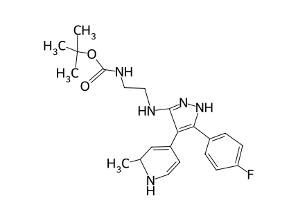 CC1C=C(c2c(NCCNC(=O)OC(C)(C)C)n[nH]c2-c2ccc(F)cc2)C=CN1